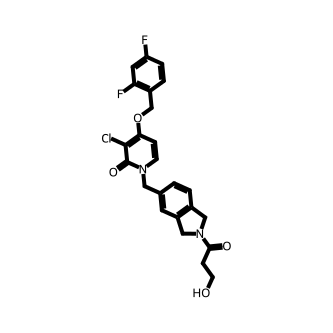 O=C(CCO)N1Cc2ccc(Cn3ccc(OCc4ccc(F)cc4F)c(Cl)c3=O)cc2C1